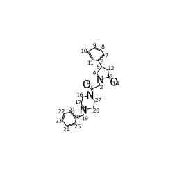 O=C(CN1CC(c2ccccc2)CC1=O)N1CCN(Cc2ccccc2)CC1